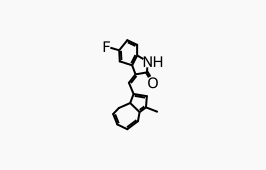 CC1=C2C=CC=CCC2C(/C=C2\C(=O)Nc3ccc(F)cc32)=C1